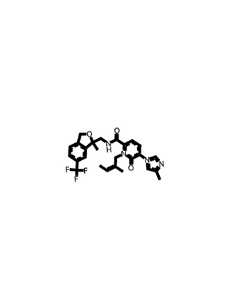 C/C=C(/C)Cn1c(C(=O)NCC2(C)OCc3ccc(C(F)(F)F)cc32)ccc(-n2cnc(C)c2)c1=O